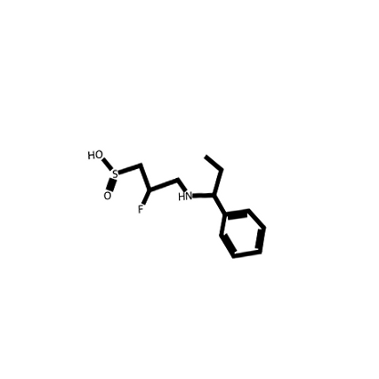 CCC(NCC(F)CS(=O)O)c1ccccc1